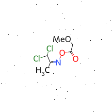 COCC(=O)ON=C(C)C(Cl)Cl